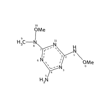 CONc1nc(N)nc(N(C)OC)n1